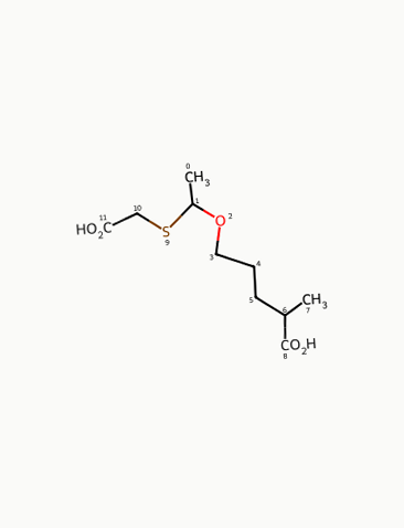 CC(OCCCC(C)C(=O)O)SCC(=O)O